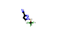 N#Cc1ccn(SC(F)(F)F)n1